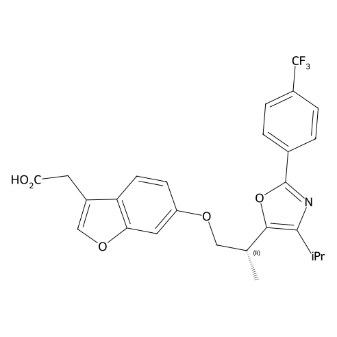 CC(C)c1nc(-c2ccc(C(F)(F)F)cc2)oc1[C@H](C)COc1ccc2c(CC(=O)O)coc2c1